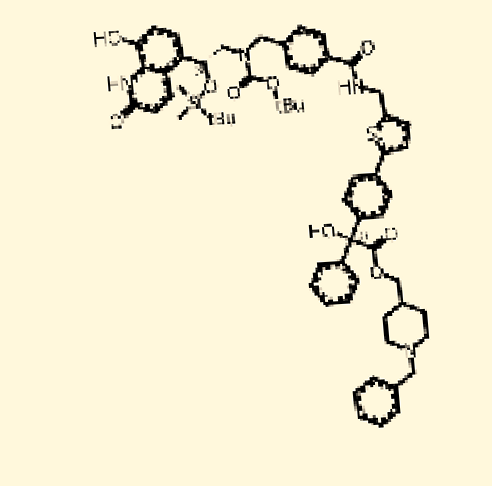 CC(C)(C)OC(=O)N(Cc1ccc(C(=O)NCc2ccc(-c3ccc([C@](O)(C(=O)OCC4CCN(Cc5ccccc5)CC4)c4ccccc4)cc3)s2)cc1)C[C@H](O[Si](C)(C)C(C)(C)C)c1ccc(O)c2[nH]c(=O)ccc12